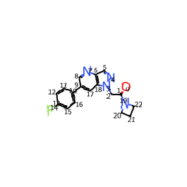 O=C(Cn1ncc2ncc(-c3ccc(F)cc3)cc21)N1CCC1